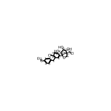 CCOc1ccc(Cc2cc([C@]34OC[C@](CCl)(O3)[C@@H](O)[C@H](O)[C@H]4O)ccc2Cl)cc1